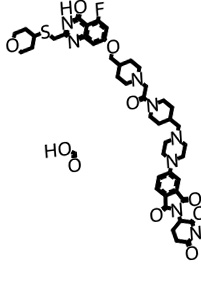 O=C1CCC(N2C(=O)c3ccc(N4CCN(CC5CCN(C(=O)CN6CCC(COc7cc(F)c8c(=O)[nH]c(CSC9CCOCC9)nc8c7)CC6)CC5)CC4)cc3C2=O)C(=O)N1.O=CO